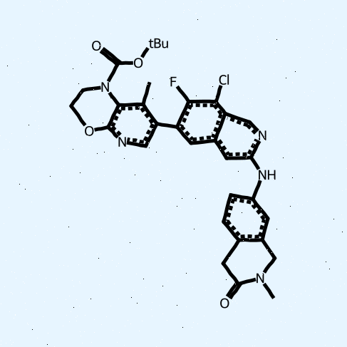 Cc1c(-c2cc3cc(Nc4ccc5c(c4)CN(C)C(=O)C5)ncc3c(Cl)c2F)cnc2c1N(C(=O)OC(C)(C)C)CCO2